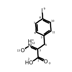 O=C(O)C(Cc1ccc(I)cc1)=[NH+][O-]